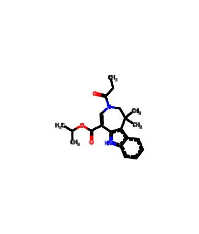 CCC(=O)N1C=C(C(=O)OC(C)C)c2[nH]c3ccccc3c2C(C)(C)C1